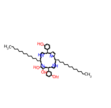 CCCCCCCCCCCCCc1c2nc(c(-c3cccc(O)c3)c3ccc([nH]3)c(CCCCCCCCCCCCC)c3nc(c(-c4cccc(O)c4)c4ccc1[nH]4)C(O)=C3O)C=C2